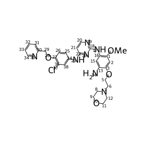 COc1cc(OCCN2CCOCC2)c(N)cc1Nc1nccc(Nc2ccc(OCc3ccccn3)c(Cl)c2)n1